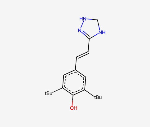 CC(C)(C)c1cc(C=CC2=NNCN2)cc(C(C)(C)C)c1O